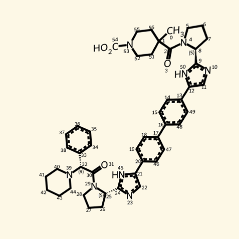 CC1(C(=O)N2CCC[C@H]2c2ncc(-c3ccc(-c4ccc(-c5cnc([C@@H]6CCCN6C(=O)[C@@H](c6ccccc6)N6CCCCC6)[nH]5)cc4)cc3)[nH]2)CCN(C(=O)O)CC1